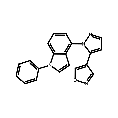 c1ccc(-n2ccc3c(-n4nccc4-c4cnoc4)cccc32)cc1